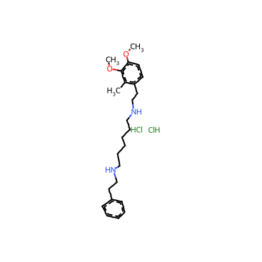 COc1ccc(CCNCCCCCCNCCc2ccccc2)c(C)c1OC.Cl.Cl